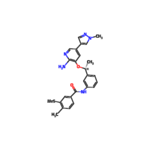 CSc1cc(C(=O)Nc2cccc([C@@H](C)Oc3cc(-c4cnn(C)c4)cnc3N)c2)ccc1C